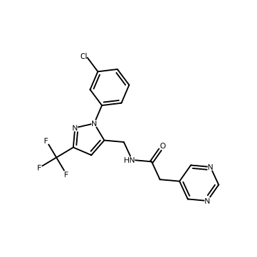 O=C(Cc1cncnc1)NCc1cc(C(F)(F)F)nn1-c1cccc(Cl)c1